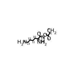 C=CC(=O)ONC(=O)[C@@H](N)CCCCN